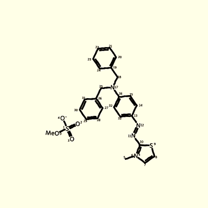 COS(=O)(=O)[O-].C[n+]1ccsc1N=Nc1ccc(N(Cc2ccccc2)Cc2ccccc2)cc1